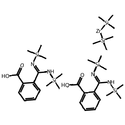 C[Si](C)(C)N=C(N[Si](C)(C)C)c1ccccc1C(=O)O.C[Si](C)(C)N=C(N[Si](C)(C)C)c1ccccc1C(=O)O.C[Si](C)(C)[Zr][Si](C)(C)C